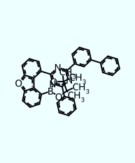 CC1(C)OB(c2cccc3oc4cccc(-c5nc(-c6ccccc6)nc(-c6cccc(-c7ccccc7)c6)n5)c4c23)OC1(C)C